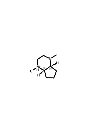 [CH2-][NH+]1CCN(C)[C@@H]2CCC[C@@H]21